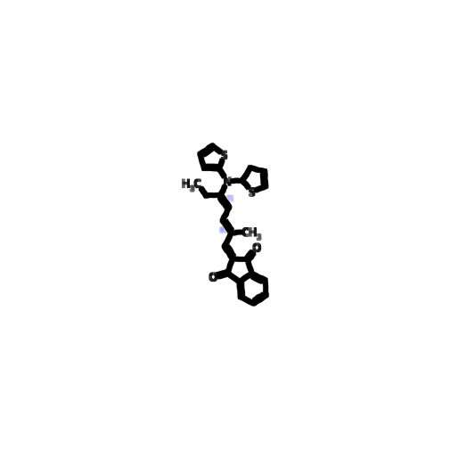 CC/C(=C\C=C(/C)C=C1C(=O)c2ccccc2C1=O)N(c1cccs1)C1CC=CS1